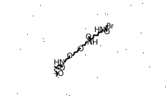 CC(=O)SC(C)(C)CC(=O)NCCCOCCCCOCCCNC(=O)CCCCCNC(=O)CBr